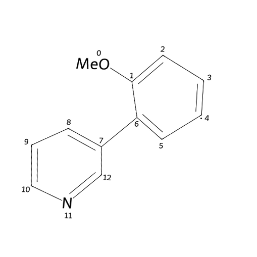 COc1cc[c]cc1-c1cccnc1